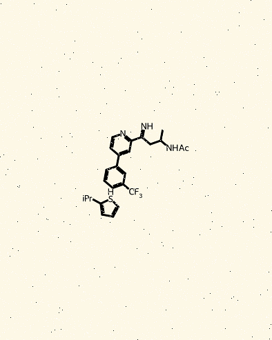 CC(=O)NC(C)CC(=N)c1cc(-c2ccc([SH]3C=CC=C3C(C)C)c(C(F)(F)F)c2)ccn1